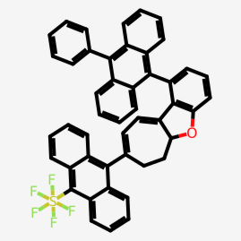 FS(F)(F)(F)(F)c1c2ccccc2c(C2=CC=C3c4c(cccc4-c4c5ccccc5c(-c5ccccc5)c5ccccc45)OC3CC2)c2ccccc12